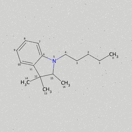 CCCCCN1c2ccccc2C(C)(C)C1C